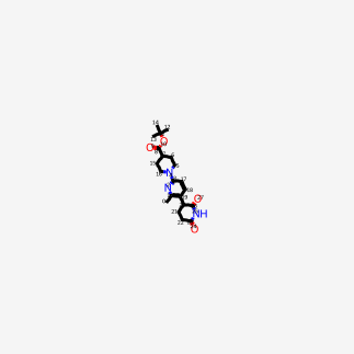 Cc1nc(N2CCC(C(=O)OC(C)(C)C)CC2)ccc1C1CCC(=O)NC1=O